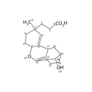 CC1(CCC(=O)O)C=C2C(CC1)OC1=C3CCC(CC23)C1O